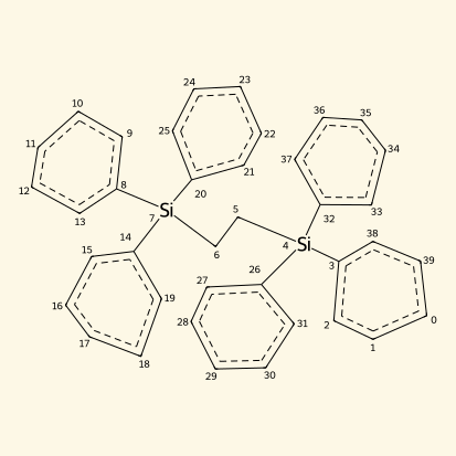 c1ccc([Si](CC[Si](c2ccccc2)(c2ccccc2)c2ccccc2)(c2ccccc2)c2ccccc2)cc1